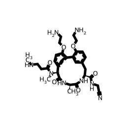 CNCCC(=O)N(C)[C@@H]1C(=O)N[C@@H](C)C(=O)N[C@H](C(=O)NCC#N)Cc2ccc(OCCN)c(c2)-c2cc1ccc2OCCN